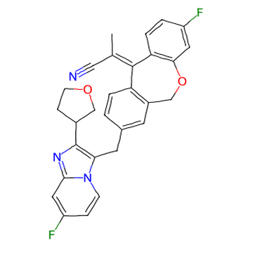 CC(C#N)=C1c2ccc(Cc3c(C4CCOC4)nc4cc(F)ccn34)cc2COc2cc(F)ccc21